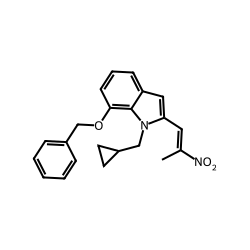 C/C(=C\c1cc2cccc(OCc3ccccc3)c2n1CC1CC1)[N+](=O)[O-]